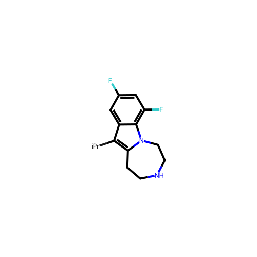 CC(C)c1c2n(c3c(F)cc(F)cc13)CCNCC2